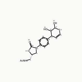 CC(=O)NC[C@H]1CN(c2ccc(C3C=CSC(O)C3O)cc2)C(=O)O1